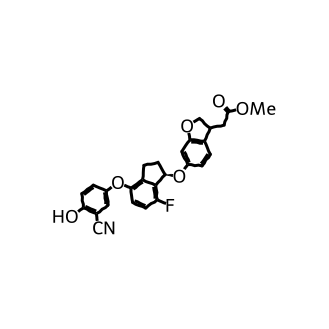 COC(=O)CC1COc2cc(O[C@@H]3CCc4c(Oc5ccc(O)c(C#N)c5)ccc(F)c43)ccc21